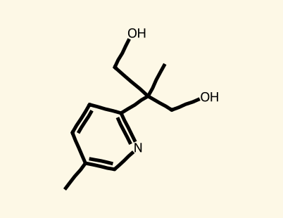 Cc1ccc(C(C)(CO)CO)nc1